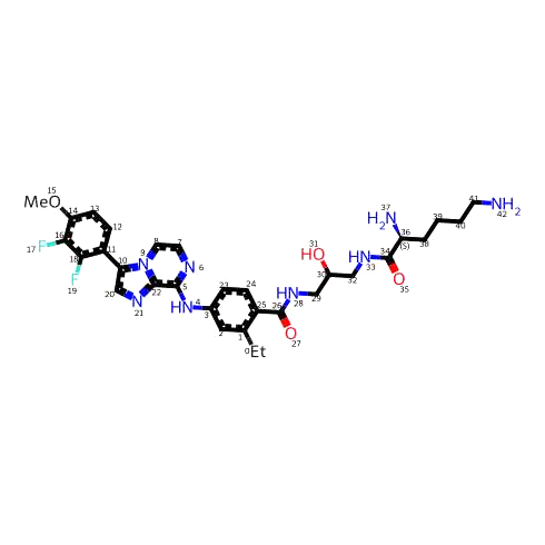 CCc1cc(Nc2nccn3c(-c4ccc(OC)c(F)c4F)cnc23)ccc1C(=O)NCC(O)CNC(=O)[C@@H](N)CCCCN